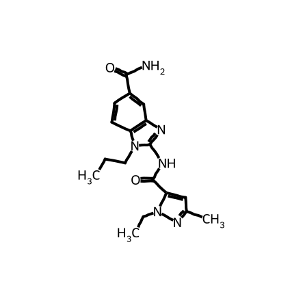 CCCn1c(NC(=O)c2cc(C)nn2CC)nc2cc(C(N)=O)ccc21